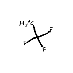 FC(F)(F)[AsH2]